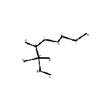 CCCCCC(C)C(C)(C)CC